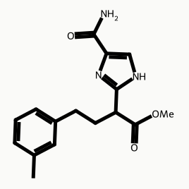 COC(=O)C(CCc1cccc(C)c1)c1nc(C(N)=O)c[nH]1